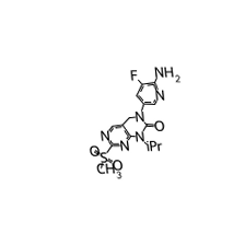 CC(C)N1C(=O)N(c2cnc(N)c(F)c2)Cc2cnc(S(C)(=O)=O)nc21